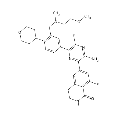 COCCN(C)Cc1cc(-c2nc(-c3cc(F)c4c(c3)CCNC4=O)c(N)nc2F)ccc1C1CCOCC1